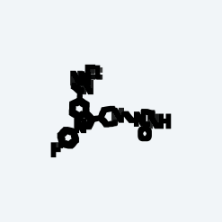 CCn1ncc(-c2ccc3c(c2)c(C2CCN(CCN4CCNC4=O)CC2)cn3-c2ccc(F)cc2)n1